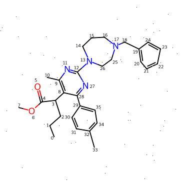 CCCC(C(=O)OC)c1c(C)nc(N2CCCN(Cc3ccccc3)CC2)nc1-c1ccc(C)cc1